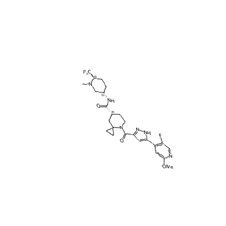 COc1cc(-c2cc(C(=O)N3CC[C@@H](C(=O)N[C@H]4CC[C@H](C(F)(F)F)N(C)C4)CC34CC4)n[nH]2)c(F)cn1